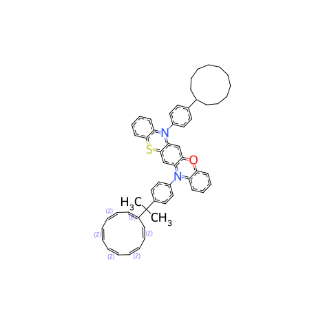 CC(C)(C1=C/C=C\C=C/C=C\C=C/C=C\1)c1ccc(-n2c3ccccc3oc3cc4c(cc32)sc2ccccc2n4-c2ccc(C3CCCCCCCCCC3)cc2)cc1